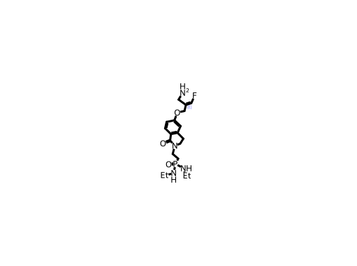 CCNP(=O)(CCN1CCc2cc(OC/C(=C/F)CN)ccc2C1=O)NCC